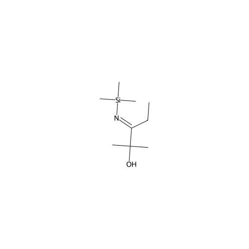 CCC(=N[Si](C)(C)C)C(C)(C)O